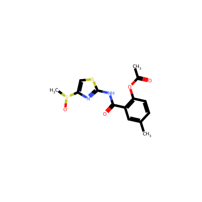 CC(=O)Oc1ccc(C)cc1C(=O)Nc1nc([S+](C)[O-])cs1